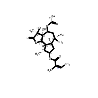 C/C=C(/C)C(=O)O[C@@H]1C[C@H]2[C@@H]([C@H]1C)[C@H]1OC(=O)[C@@](C)(O)[C@@]1(O)C(OC(=O)[C@@H](C)CC)C[C@]2(C)OC(C)=O